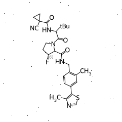 Cc1cc(-c2scnc2C)ccc1CNC(=O)C1[C@@H](F)CCN1C(=O)C(NC(=O)C1(C#N)CC1)C(C)(C)C